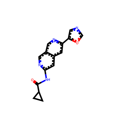 O=C(Nc1cc2cc(-c3cnco3)ncc2cn1)C1CC1